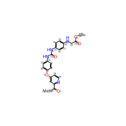 CNC(=O)c1cc(Oc2ccc(NC(=O)Nc3ccc(NCC(=O)OC(C)(C)C)cc3)cc2)ccn1